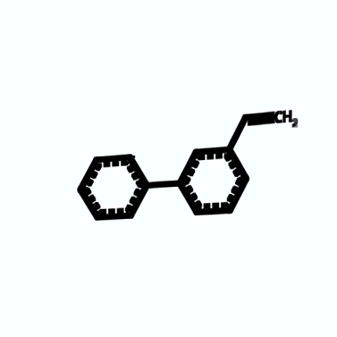 C=Cc1cccc(-c2[c]cccc2)c1